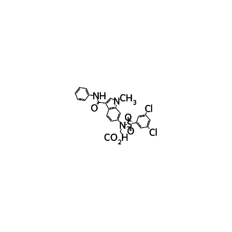 Cn1cc(C(=O)Nc2ccccc2)c2ccc(N(CC(=O)O)S(=O)(=O)c3cc(Cl)cc(Cl)c3)cc21